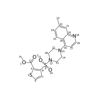 COC(=O)c1sccc1S(=O)(=O)N1CCN(c2ccnc3cc(C)ccc23)CC1